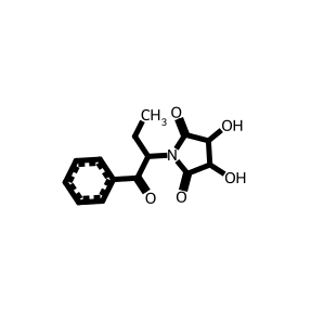 CCC(C(=O)c1ccccc1)N1C(=O)C(O)C(O)C1=O